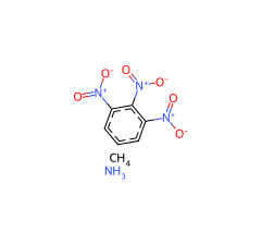 C.N.O=[N+]([O-])c1cccc([N+](=O)[O-])c1[N+](=O)[O-]